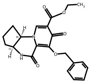 CCOC(=O)c1cn2c(c(OCc3ccccc3)c1=O)C(=O)N[C@H]1CCC[C@H]12